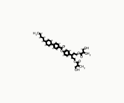 C=C(CO)C(=O)OCCC(CCOC(=O)C(=C)CO)c1ccc(OC(=O)c2ccc(C3CCC(CCCCC)CC3)cc2)cc1